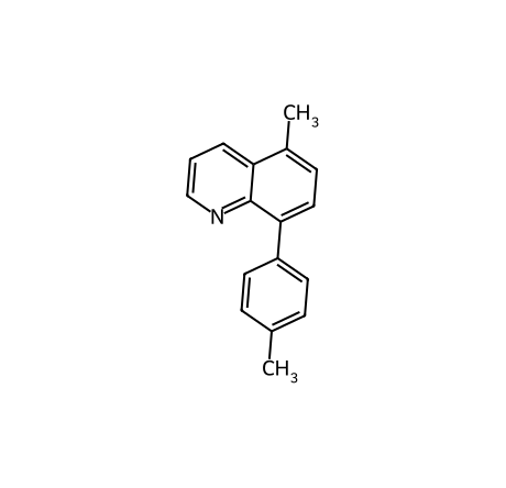 Cc1ccc(-c2ccc(C)c3cccnc23)cc1